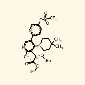 Cc1ncc(-c2ccc(OS(=O)(=O)C(F)(F)F)cn2)c(N2CCC(C)(C)CC2)c1[C@H](OC(C)(C)C)C(=O)OC(C)C